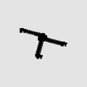 CC(C)CCCCCCCCCCCCCCC(=O)[O][Ti](=[O])([O]C(=O)CCCCCCCCCCCCCCC(C)C)[C](=O)CCCCCCCCCCCCCCC(C)C